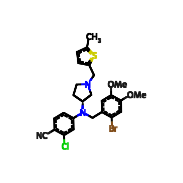 COc1cc(Br)c(CN(c2ccc(C#N)c(Cl)c2)[C@H]2CCN(Cc3ccc(C)s3)C2)cc1OC